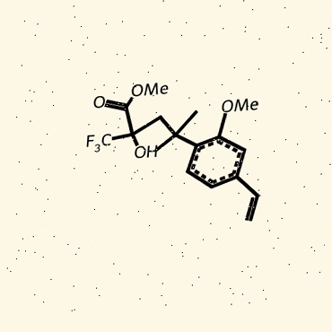 C=Cc1ccc(C(C)(C)CC(O)(C(=O)OC)C(F)(F)F)c(OC)c1